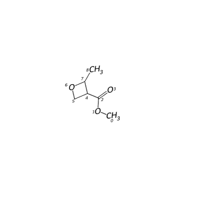 COC(=O)C1COC1C